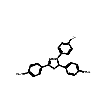 COc1ccc(C2=NN(c3ccc(C(C)(C)C)cc3)C(c3ccc(OC)cc3)C2)cc1